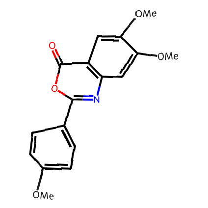 COc1ccc(-c2nc3cc(OC)c(OC)cc3c(=O)o2)cc1